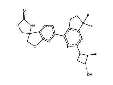 C[C@H]1[C@H](O)CN1c1nc(-c2ccc3c(c2)OCC32COC(=O)N2)c2c(n1)C(F)(F)CC2